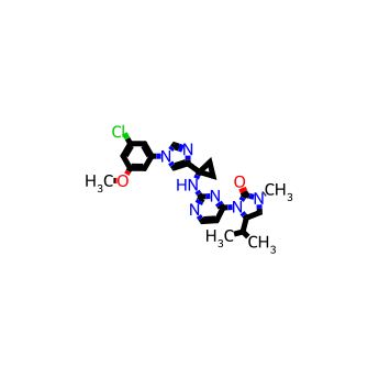 COc1cc(Cl)cc(-n2cnc(C3(Nc4nccc(N5C(=O)N(C)CC5C(C)C)n4)CC3)c2)c1